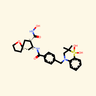 CC1(C)CN(Cc2ccc(C(=O)N[C@@H]3C[C@@]4(CCCO4)C[C@@H]3C(=O)NO)cc2)c2ccccc2S1(O)O